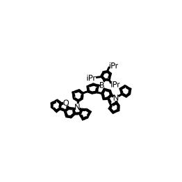 CC(C)c1cc(C(C)C)c(B2c3ccc(-c4cccc(-n5c6ccccc6c6ccc7c8ccccc8oc7c65)c4)cc3-c3cc4c5ccccc5n(-c5ccccc5)c4cc32)c(C(C)C)c1